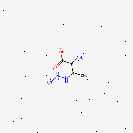 CC(NNN)C(N)C(=O)O